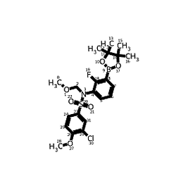 COCN(c1cccc(B2OC(C)(C)C(C)(C)O2)c1F)S(=O)(=O)c1ccc(OC)c(Cl)c1